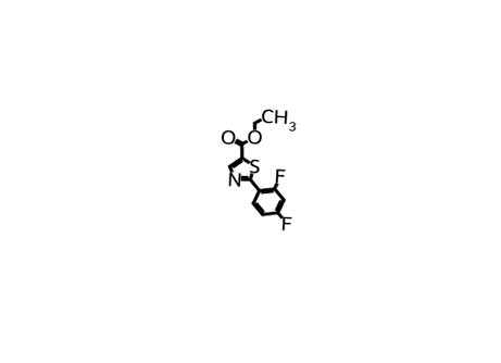 CCOC(=O)c1cnc(-c2ccc(F)cc2F)s1